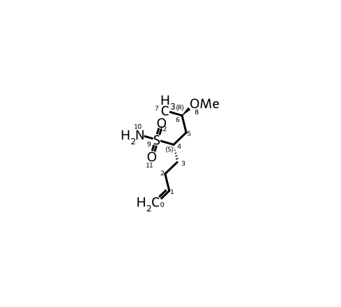 C=CCC[C@@H](C[C@@H](C)OC)S(N)(=O)=O